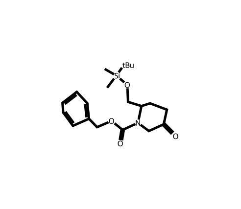 CC(C)(C)[Si](C)(C)OCC1CCC(=O)CN1C(=O)OCc1ccccc1